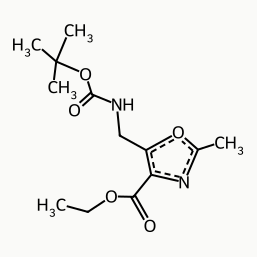 CCOC(=O)c1nc(C)oc1CNC(=O)OC(C)(C)C